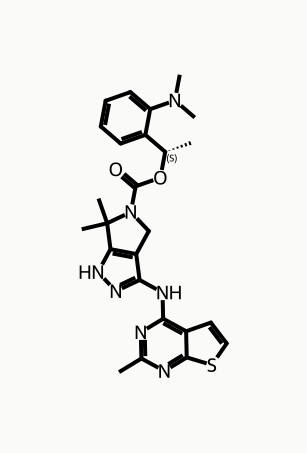 Cc1nc(Nc2n[nH]c3c2CN(C(=O)O[C@@H](C)c2ccccc2N(C)C)C3(C)C)c2ccsc2n1